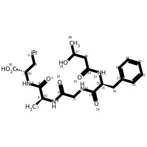 CC(C)C[C@H](NC(=O)[C@H](C)NC(=O)CNC(=O)[C@H](Cc1ccccc1)NC(=O)CC(C)O)C(=O)O